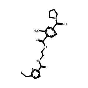 Cc1cc(C(=N)N2CCCC2)ccc1C(=O)OCCNC(=O)c1ccc(CI)s1